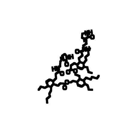 CCCCCC1C(CCC)C=CC(CCOC(=O)CCC2C(CCC(=O)NCCN3CCNC3=O)C=CC(CCC)C2CCCCC)C1CCOC(=O)CCC1C=CC(CCC)C(CCCCC)C1CCC(=O)NCCN1CCNC1=O